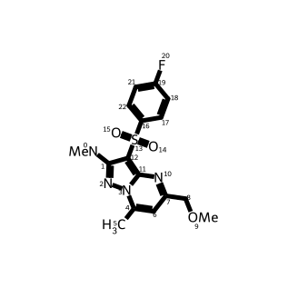 CNc1nn2c(C)cc(COC)nc2c1S(=O)(=O)c1ccc(F)cc1